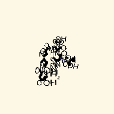 Nc1nc(/C(=N/OC2(C(=O)O)CC2)C(=O)N[C@@H]2C(=O)N(S(=O)(=O)O)[C@@H]2CNC(=O)c2cc([C@H]3CCN(C(=O)c4cc(=O)c(O)cn4O)C3)no2)cs1